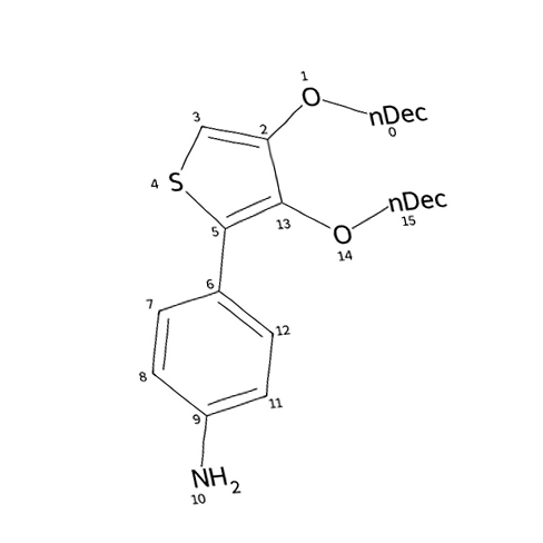 CCCCCCCCCCOc1csc(-c2ccc(N)cc2)c1OCCCCCCCCCC